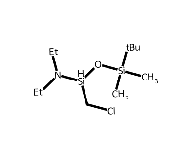 CCN(CC)[SiH](CCl)O[Si](C)(C)C(C)(C)C